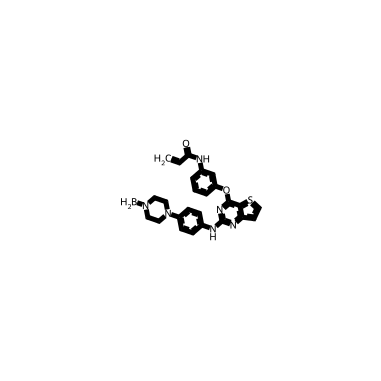 BN1CCN(c2ccc(Nc3nc(Oc4cccc(NC(=O)C=C)c4)c4sccc4n3)cc2)CC1